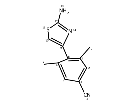 Cc1cc(C#N)cc(C)c1-c1csc(N)n1